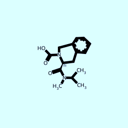 CC(C)N(C)C(=O)[C@@H]1Cc2ccccc2CN1C(=O)O